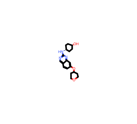 O[C@H]1CC[C@H](Nc2ncc3ccc(OC4CCOCC4)cc3n2)CC1